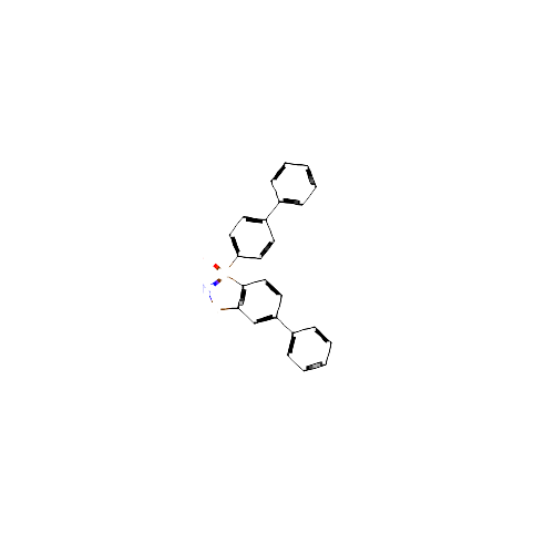 O=S1(c2ccc(-c3ccccc3)cc2)=NSc2cc(-c3ccccc3)ccc21